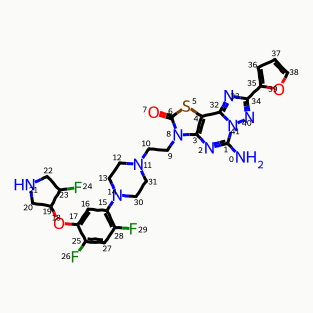 Nc1nc2c(sc(=O)n2CCN2CCN(c3cc(OC4CNCC4F)c(F)cc3F)CC2)c2nc(-c3ccco3)nn12